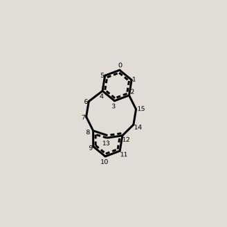 c1cc2cc(c1)CCc1cccc(c1)CC2